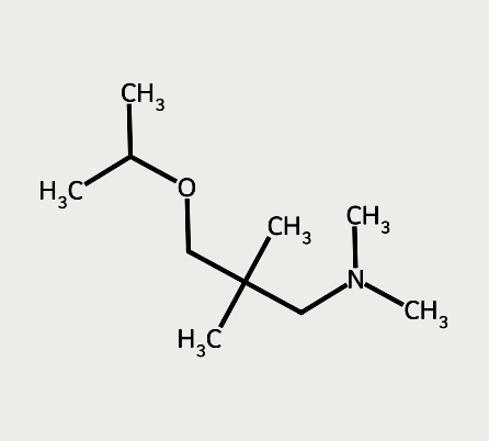 CC(C)OCC(C)(C)CN(C)C